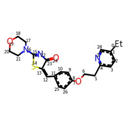 CCc1ccc(CCOc2ccc(C=C3SC(N4CCOCC4)=NC3=O)cc2)nc1